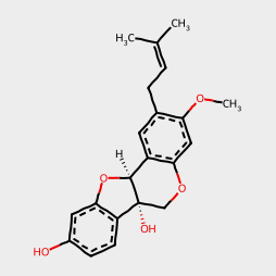 COc1cc2c(cc1CC=C(C)C)[C@@H]1Oc3cc(O)ccc3[C@]1(O)CO2